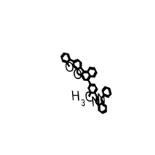 CC1CC(c2cc3oc4c(ccc5c6ccccc6oc54)c3c3ccccc23)=CC=C1c1nc2ccccc2n1-c1ccccc1